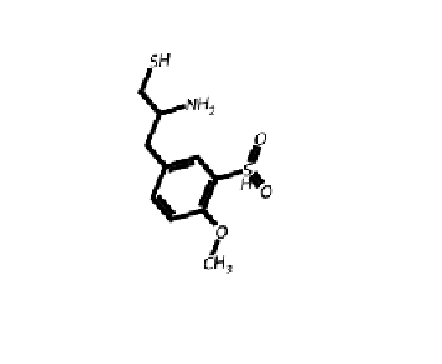 COc1ccc(CC(N)CS)cc1[SH](=O)=O